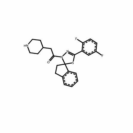 O=C(CC1CCNCC1)N1N=C(c2cc(F)ccc2F)SC12CCc1ccccc12